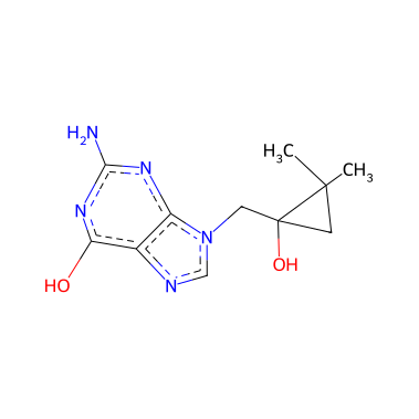 CC1(C)CC1(O)Cn1cnc2c(O)nc(N)nc21